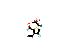 C=Cc1c(F)csc1C(=O)F.CC(=O)CF